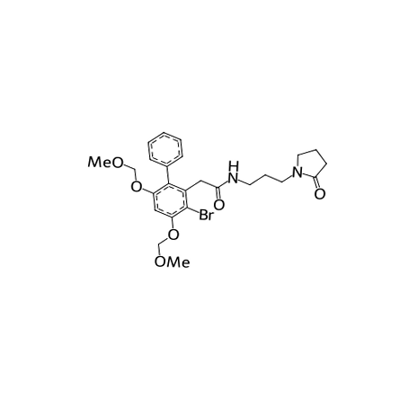 COCOc1cc(OCOC)c(-c2ccccc2)c(CC(=O)NCCCN2CCCC2=O)c1Br